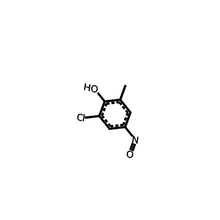 Cc1cc(N=O)cc(Cl)c1O